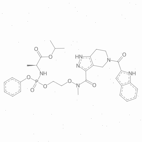 CC(C)OC(=O)[C@H](C)NP(=O)(OCCON(C)C(=O)c1n[nH]c2c1CN(C(=O)c1cc3ccccc3[nH]1)CC2)Oc1ccccc1